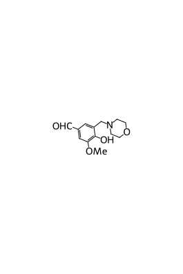 COc1cc(C=O)cc(CN2CCOCC2)c1O